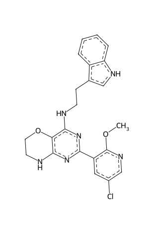 COc1ncc(Cl)cc1-c1nc2c(c(NCCc3c[nH]c4ccccc34)n1)OCCN2